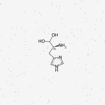 N[C@@H](Cc1c[nH]cn1)C(O)O